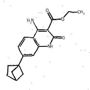 CCOC(=O)c1c(N)c2ccc(C34CCC(C3)C4)cc2[nH]c1=O